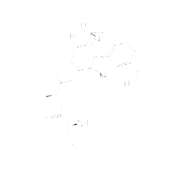 CC(=O)C[C@H](N)C(=O)O[C@@H](C)C(=O)OC1=CC[C@@]2(O)[C@H]3Cc4ccc(CO)c5c4[C@@]2(CCN3C)[C@H]1O5